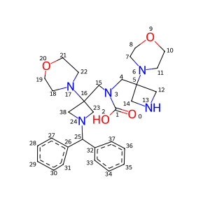 O=C(O)N(CC1(N2CCOCC2)CNC1)CC1(N2CCOCC2)CN(C(c2ccccc2)c2ccccc2)C1